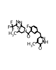 Cc1cc(Cc2ccc(F)c(C(=O)N3Cc4nnc(C(F)(F)F)n4C(C)C3)c2)n[nH]c1=O